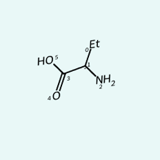 CC[C](N)C(=O)O